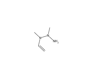 C=CN(C)N(C)N